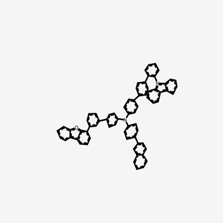 c1cc(-c2ccc(N(c3ccc(-c4ccc(-c5ccccc5-n5c6ccccc6c6ccccc65)cc4)cc3)c3ccc(-c4ccc5ccccc5c4)cc3)cc2)cc(-c2cccc3c2oc2ccccc23)c1